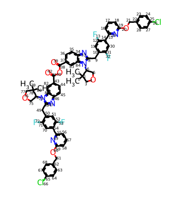 CC1(C)COCC1n1c(Cc2cc(F)c(-c3cccc(OCc4ccc(Cl)cc4)n3)cc2F)nc2ccc(C(=O)OC(=O)c3ccc4nc(Cc5cc(F)c(-c6cccc(OCc7ccc(Cl)cc7)n6)cc5F)n(C5COCC5(C)C)c4c3)cc21